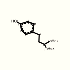 CCCCCCC(CCCCCC)CCc1ccc(O)cc1